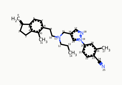 C=C1CCc2c1ccc(CCN(CCC)Cc1cnn(-c3ccc(C#N)c(C)c3)c1)c2C